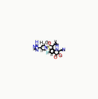 COC1=S(N2CCC(c3ncn[nH]3)CC2)c2c(F)cc3c(c2C1C1CC1)NC(C#N)C(=O)C3=O